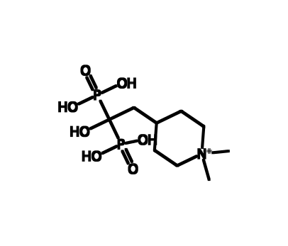 C[N+]1(C)CCC(CC(O)(P(=O)(O)O)P(=O)(O)O)CC1